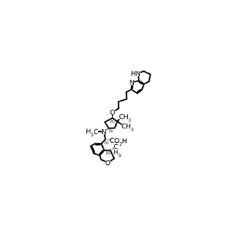 C[C@@H]1COCc2cccc([C@@H](C(=O)O)N(C)[C@@H]3C[C@@H](OCCCCc4ccc5c(n4)NCCC5)C(C)(C)C3)c21